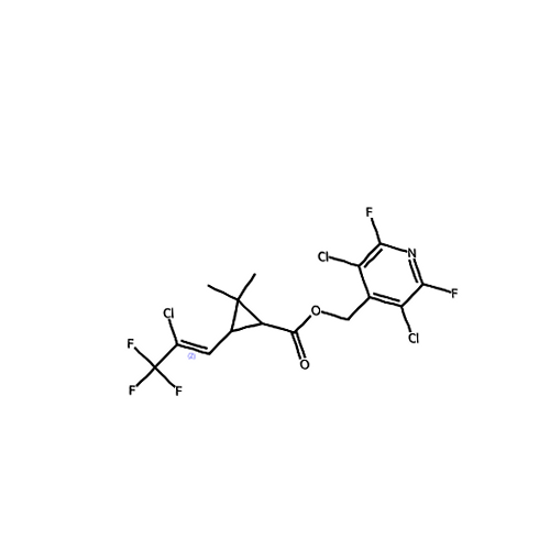 CC1(C)C(/C=C(\Cl)C(F)(F)F)C1C(=O)OCc1c(Cl)c(F)nc(F)c1Cl